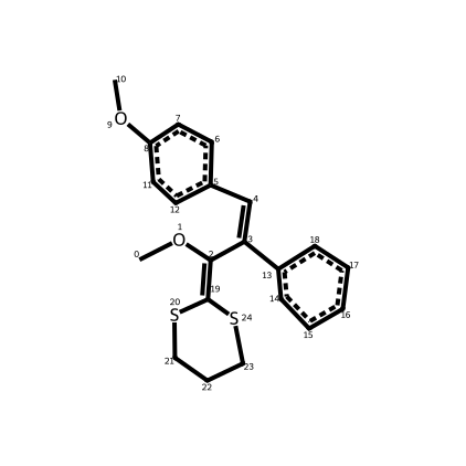 COC(C(=Cc1ccc(OC)cc1)c1ccccc1)=C1SCCCS1